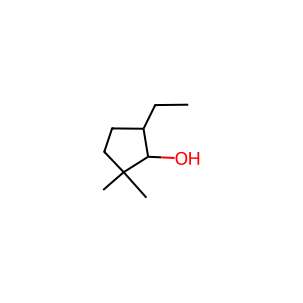 CCC1CCC(C)(C)C1O